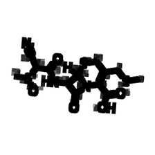 CSCC1=C(C(=O)O)N2C(=O)C(NC(=O)C(C#N)[S+](C)[O-])[C@@H]2SC1